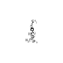 CCCCOc1ccc(C(=O)Nc2ncc(C(C)C)s2)cc1